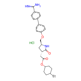 CCC1CCC(OC(=O)C[C@@H]2C[C@@H](COc3ccc(-c4ccc(C(=N)N)cc4)cc3)NC2=O)CC1.Cl